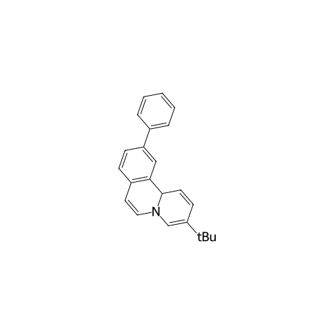 CC(C)(C)C1=CN2C=Cc3ccc(-c4ccccc4)cc3C2C=C1